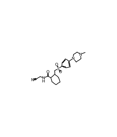 CN1CCN(c2ccc(S(=O)(=O)CC3CCCCC3C(=O)NCC#N)cc2)CC1